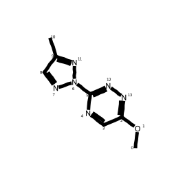 COc1cnc(-n2ncc(C)n2)nn1